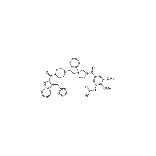 CCCC(=O)Oc1cc(C(=O)N2CCC(CCN3CCC(C(=O)c4nc5ccccc5n4Cc4ccco4)CC3)(c3ccccc3)C2)cc(OC)c1OC